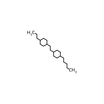 CCCCCC1CCC(CCC2CCC(CCC)CC2)CC1